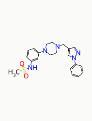 CS(=O)(=O)Nc1cccc(N2CCN(Cc3cnn(-c4ccccc4)c3)CC2)c1